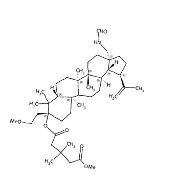 C=C(C)[C@@H]1CC[C@]2(CNC=O)CC[C@]3(C)[C@H](CCC4[C@@]5(C)CC[C@](CCOC)(OC(=O)CC(C)(C)CC(=O)OC)C(C)(C)[C@@H]5CC[C@]43C)[C@@H]12